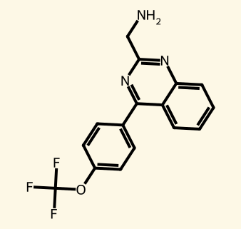 NCc1nc(-c2ccc(OC(F)(F)F)cc2)c2ccccc2n1